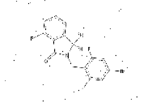 [2H]C1([2H])c2cccc(F)c2C(=O)N1Cc1c(F)cc(Br)cc1F